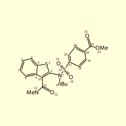 CCCCN(c1sc2ccccc2c1C(=O)NC)S(=O)(=O)c1ccc(C(=O)OC)cc1